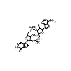 COC1C2COP(=O)(O)OC3C(CNS(=O)(=O)OC1C(n1cnc4c(=O)[nH]ncc41)O2)OC(n1cnc2c(N)ncnc21)C3F